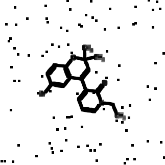 CCn1cccc(C2=CC(C)(C)Oc3ccc(Br)cc32)c1=O